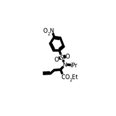 C=CCC(C(=O)OCC)N(C(C)C)S(=O)(=O)c1ccc([N+](=O)[O-])cc1